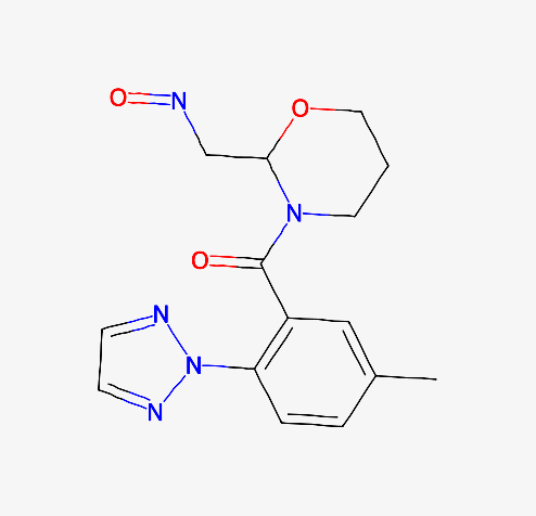 Cc1ccc(-n2nccn2)c(C(=O)N2CCCOC2CN=O)c1